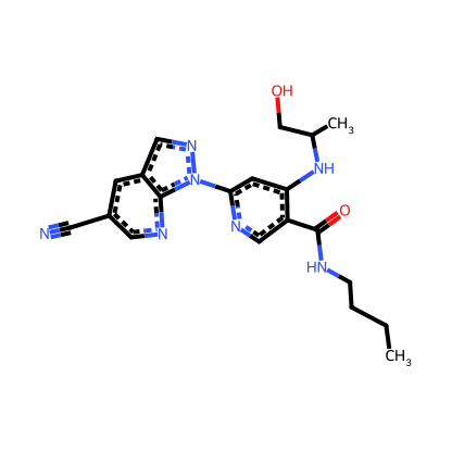 CCCCNC(=O)c1cnc(-n2ncc3cc(C#N)cnc32)cc1NC(C)CO